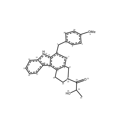 COc1ccc(Cc2nc3c(c4c2[nH]c2ccccc24)CCN(C(=O)C(C)O)C3)cc1